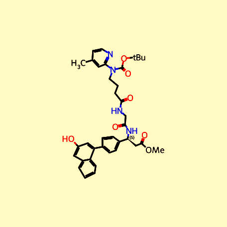 COC(=O)C[C@H](NC(=O)CNC(=O)CCCN(C(=O)OC(C)(C)C)c1cc(C)ccn1)c1ccc(-c2cc(O)cc3ccccc23)cc1